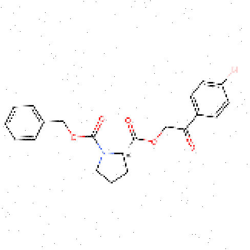 Bc1ccc(C(=O)COC(=O)[C@@H]2CCCN2C(=O)OCc2ccccc2)cc1